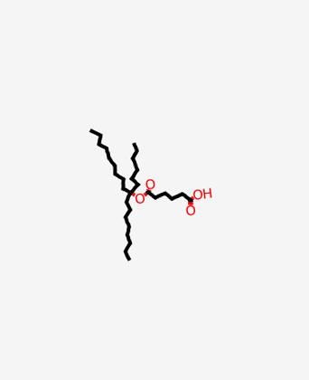 CCCCCCCCCC(CCCCCC)(CCCCCCCC)OC(=O)CCCCC(=O)O